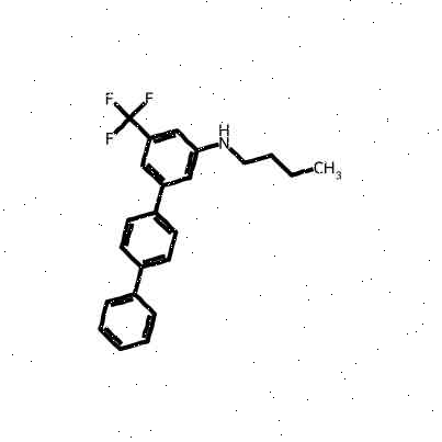 CCCCNc1cc(-c2ccc(-c3ccccc3)cc2)cc(C(F)(F)F)c1